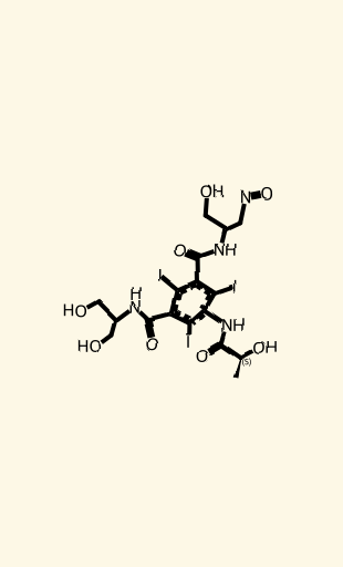 C[C@H](O)C(=O)Nc1c(I)c(C(=O)NC(CO)CO)c(I)c(C(=O)NC(CO)CN=O)c1I